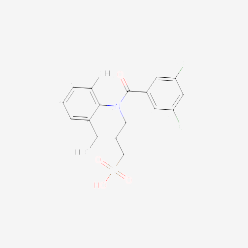 CCc1cccc(C)c1N(CCCS(=O)(=O)O)C(=O)c1cc(Cl)cc(Cl)c1